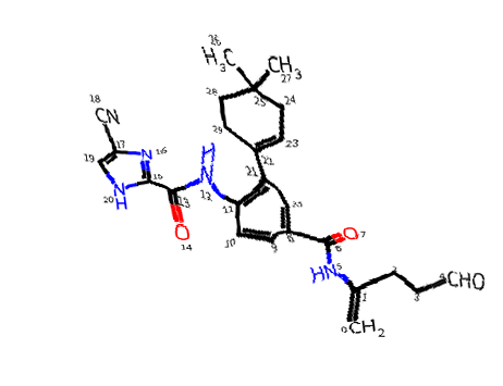 C=C(CCC=O)NC(=O)c1ccc(NC(=O)c2nc(C#N)c[nH]2)c(C2=CCC(C)(C)CC2)c1